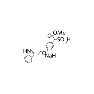 COC(=O)C(c1ccc(OCCc2c[nH]c3ccccc23)cc1)S(=O)(=O)O.[NaH]